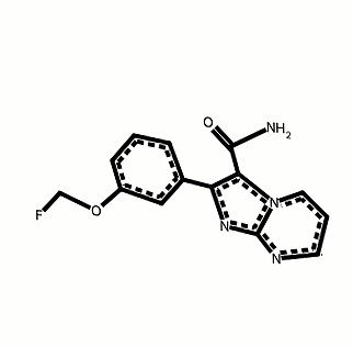 NC(=O)c1c(-c2cccc(OCF)c2)nc2n[c]ccn12